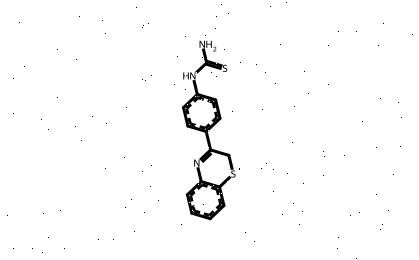 NC(=S)Nc1ccc(C2=Nc3ccccc3SC2)cc1